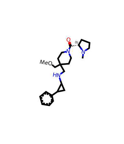 COCC1(CNC2CC2c2ccccc2)CCN(C(=O)[C@@H]2CCCN2C)CC1